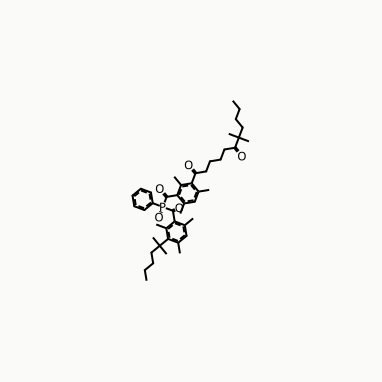 CCCCC(C)(C)C(=O)CCCCC(=O)c1c(C)cc(C)c(C(=O)P(=O)(C(=O)c2c(C)cc(C)c(C(C)(C)CCCC)c2C)c2ccccc2)c1C